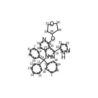 c1ccc(C(c2ccccc2)(c2ccccc2)n2nc(-c3ccn[nH]3)c3c(OC4CCOCC4)nccc32)cc1